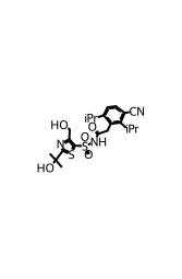 CC(C)c1ccc(C#N)c(C(C)C)c1CC(=O)NS(=O)(=O)c1sc(C(C)(C)O)nc1CO